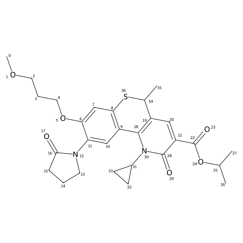 COCCCOc1cc2c(cc1N1CCCC1=O)-c1c(cc(C(=O)OC(C)C)c(=O)n1C1CC1)C(C)S2